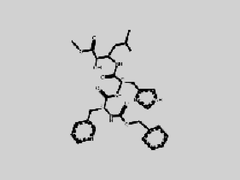 COC(=O)C(O)C(CC(C)C)NC(=O)[C@@H](Cc1c[nH]cn1)NC(=O)[C@H](Cc1cccnc1)NC(=O)OCc1ccccc1